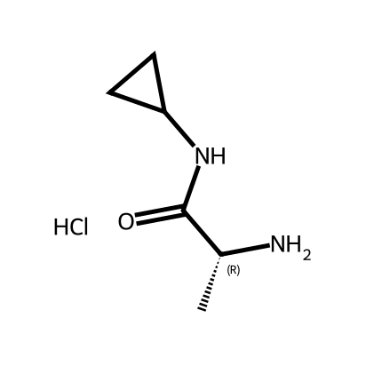 C[C@@H](N)C(=O)NC1CC1.Cl